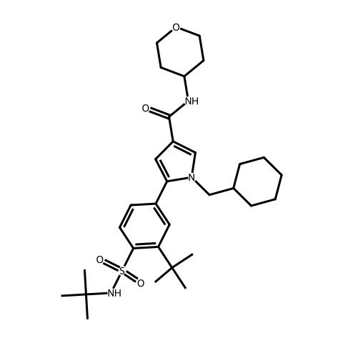 CC(C)(C)NS(=O)(=O)c1ccc(-c2cc(C(=O)NC3CCOCC3)cn2CC2CCCCC2)cc1C(C)(C)C